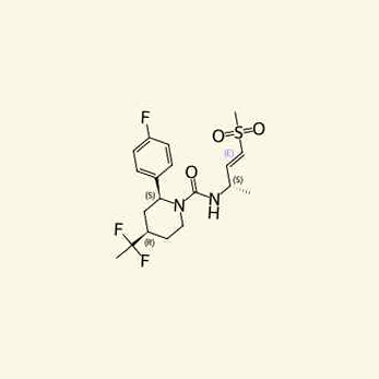 C[C@@H](/C=C/S(C)(=O)=O)NC(=O)N1CC[C@@H](C(C)(F)F)C[C@H]1c1ccc(F)cc1